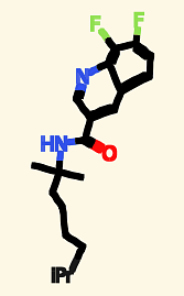 CC(C)CCCCC(C)(C)NC(=O)c1cnc2c(F)c(F)ccc2c1